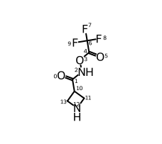 O=C(NOC(=O)C(F)(F)F)C1CNC1